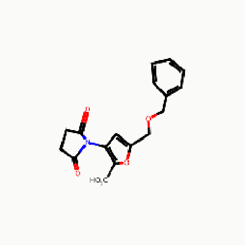 O=C(O)c1oc(COCc2ccccc2)cc1N1C(=O)CCC1=O